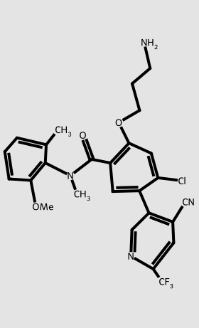 COc1cccc(C)c1N(C)C(=O)c1cc(-c2cnc(C(F)(F)F)cc2C#N)c(Cl)cc1OCCCN